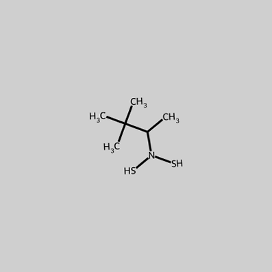 CC(N(S)S)C(C)(C)C